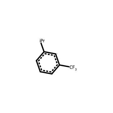 CC(C)c1[c]c(C(F)(F)F)ccc1